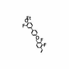 C=Cc1ccc(COc2ccc(-c3ccc(OCC)c(F)c3)cc2)c(F)c1F